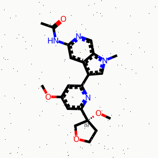 COc1cc(-c2cn(C)c3cnc(NC(C)=O)cc23)nc([C@@]2(OC)CCOC2)c1